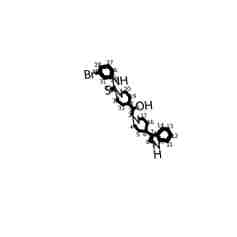 OC(CN1CCC(c2c[nH]c3ccccc23)CC1)C1CCN(C(=S)Nc2cccc(Br)c2)CC1